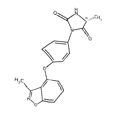 Cc1noc2cccc(Oc3ccc(N4C(=O)N[C@H](C)C4=O)cc3)c12